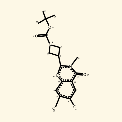 Cn1c(C2CN(C(=O)OC(C)(C)C)C2)nc2cc(Cl)c(Cl)cc2c1=O